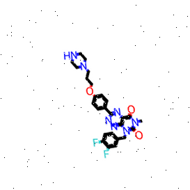 Cn1c(=O)c2nc(-c3ccc(OCCCN4CCNCC4)cc3)nnc2n(Cc2ccc(F)c(F)c2)c1=O